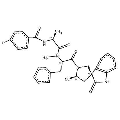 C[C@H](NC(=O)c1ccc(F)cc1)C(=O)N(C)[C@@H](Cc1ccccc1)C(=O)N1C[C@]2(C[C@H]1C#N)C(=O)Nc1ccccc12